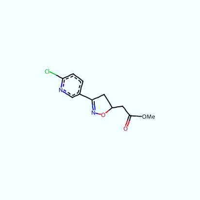 COC(=O)CC1CC(c2ccc(Cl)nc2)=NO1